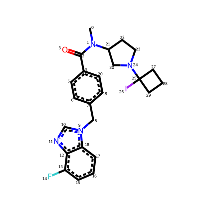 CN(C(=O)c1ccc(Cn2cnc3c(F)cccc32)cc1)C1CCN(C2(I)CCC2)C1